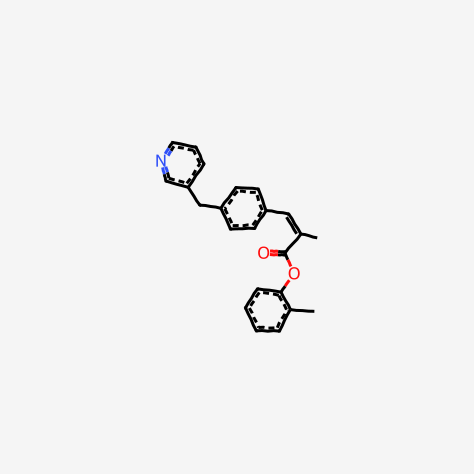 CC(=Cc1ccc(Cc2cccnc2)cc1)C(=O)Oc1ccccc1C